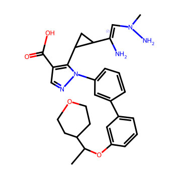 CC(Oc1cccc(-c2cccc(-n3ncc(C(=O)O)c3C3CC3/C(N)=C/N(C)N)c2)c1)C1CCOCC1